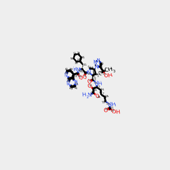 CC(C)(O)c1cnnn1[C@H]1C[C@@H](C(=O)NC(CCCCNC(=O)O)C(=O)C(N)=O)N(C(=O)[C@@H](CC2CCCCC2)NC(=O)c2ccnc3nccnc23)C1